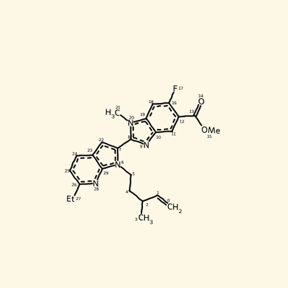 C=CC(C)CCn1c(-c2nc3cc(C(=O)OC)c(F)cc3n2C)cc2ccc(CC)nc21